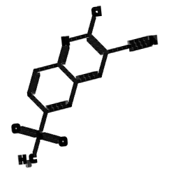 CS(=O)(=O)c1ccc2nc(Cl)c(C#N)cc2c1